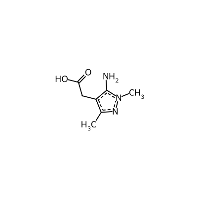 Cc1nn(C)c(N)c1CC(=O)O